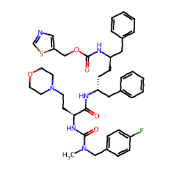 CN(Cc1ccc(F)cc1)C(=O)N[C@@H](CCN1CCOCC1)C(=O)N[C@H](CC[C@H](Cc1ccccc1)NC(=O)OCc1cncs1)Cc1ccccc1